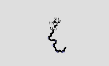 CC/C=C\C/C=C\C/C=C\C/C=C\C/C=C\CCCC(=O)OCCN(C)C(=N)N